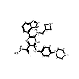 CNC(=O)c1nc(-c2cccc3nc[nH]c23)c(NCC2COC2)nc1Nc1ccc(N2CCOCC2)cc1